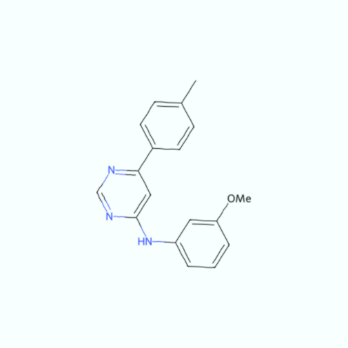 COc1cccc(Nc2cc(-c3ccc(C)cc3)ncn2)c1